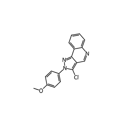 COc1ccc(-n2nc3c(cnc4ccccc43)c2Cl)cc1